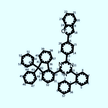 c1ccc(-c2ccccc2-c2nc(-c3ccc(-c4cc5ccccc5o4)cc3)nc(-c3cccc4c3-c3ccccc3C4(c3ccccc3)c3ccccc3)n2)cc1